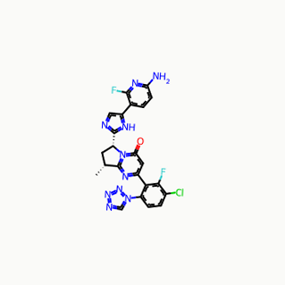 C[C@@H]1C[C@H](c2ncc(-c3ccc(N)nc3F)[nH]2)n2c1nc(-c1c(-n3cnnn3)ccc(Cl)c1F)cc2=O